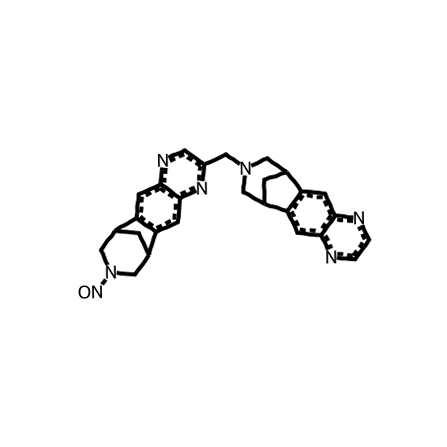 O=NN1CC2CC(C1)c1cc3nc(CN4CC5CC(C4)c4cc6nccnc6cc45)cnc3cc12